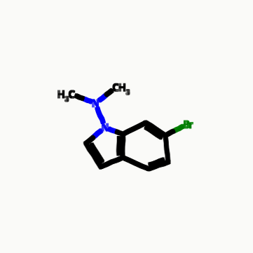 CN(C)n1ccc2ccc(Br)cc21